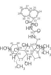 CC[C@H]1[C@@H](O)C2[C@@H]3CC[C@](C)([C@H](C)CCNC(=O)NS(=O)(=O)c4cccc5ccccc45)[C@@]3(C)CC[C@]2(C)[C@@]2(C)CC[C@@H](O)C[C@@H]12